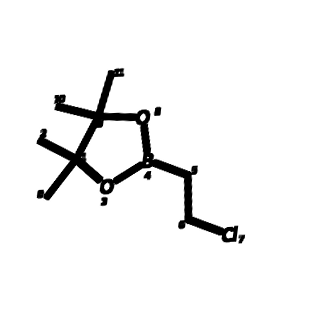 CC1(C)OB(CCCl)OC1(C)C